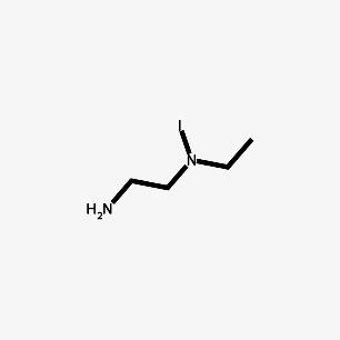 CCN(I)CCN